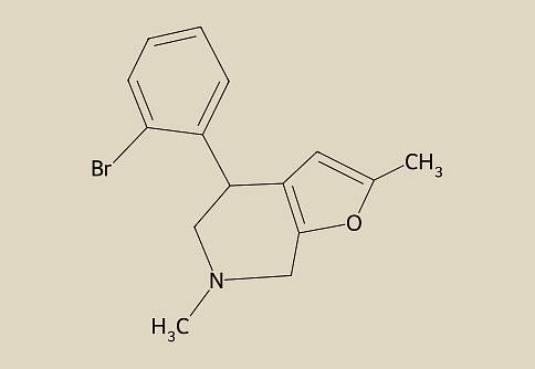 Cc1cc2c(o1)CN(C)CC2c1ccccc1Br